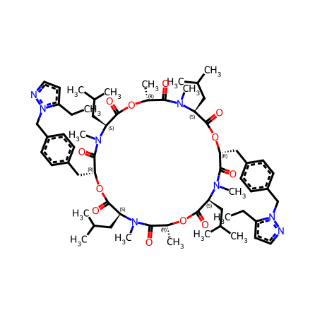 CCc1ccnn1Cc1ccc(C[C@H]2OC(=O)[C@H](CC(C)C)N(C)C(=O)[C@@H](C)OC(=O)[C@H](CC(C)C)N(C)C(=O)[C@@H](Cc3ccc(Cn4nccc4CC)cc3)OC(=O)[C@H](CC(C)C)N(C)C(=O)[C@@H](C)OC(=O)[C@H](CC(C)C)N(C)C2=O)cc1